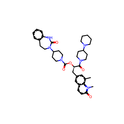 Cc1cc(C[C@@H](OC(=O)N2CCC(N3CCc4ccccc4NC3=O)CC2)C(=O)N2CCC(N3CCCCC3)CC2)cc2ccc(=O)n(C)c12